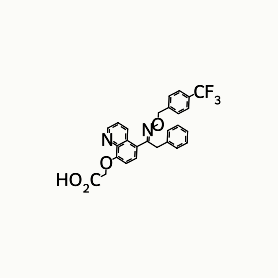 O=C(O)COc1ccc(C(Cc2ccccc2)=NOCc2ccc(C(F)(F)F)cc2)c2cccnc12